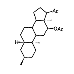 CC(=O)O[C@H]1CC2C(CC[C@@H]3C[C@H](C)CC[C@]23C)C2CCC(C(C)=O)[C@]21C